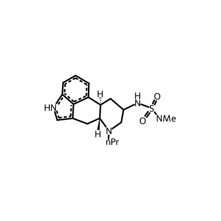 CCCN1CC(NS(=O)(=O)NC)C[C@@H]2c3cccc4[nH]cc(c34)C[C@H]21